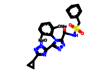 COc1cccc(OC)c1-n1c(C(=O)NS(=O)(=O)Cc2ccccc2)nnc1-c1nc(C2CC2)n[nH]1